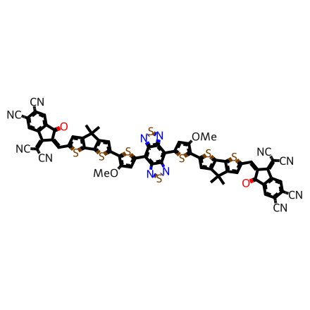 COc1cc(-c2c3c(c(-c4cc(OC)c(-c5cc6c(s5)-c5sc(/C=C7\C(=O)c8cc(C#N)c(C#N)cc8C7=C(C#N)C#N)cc5C6(C)C)s4)c4nsnc24)N=S=N3)sc1-c1cc2c(s1)-c1sc(/C=C3\C(=O)c4cc(C#N)c(C#N)cc4C3=C(C#N)C#N)cc1C2(C)C